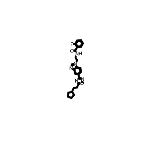 O=C(NCCn1cnc2cc(-c3noc(CCC4CCCC4)n3)ccc21)c1ccccc1F